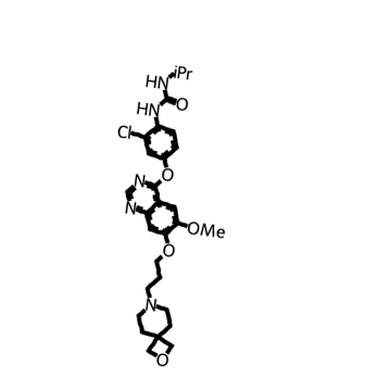 COc1cc2c(Oc3ccc(NC(=O)NC(C)C)c(Cl)c3)ncnc2cc1OCCCN1CCC2(CC1)COC2